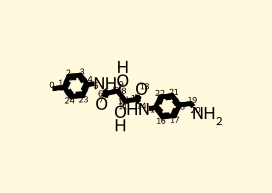 Cc1ccc(NC(=O)[C@H](O)[C@@H](O)C(=O)Nc2ccc(CN)cc2)cc1